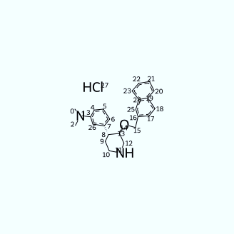 CN(C)c1cccc([C@H]2CCNC[C@@H]2OCc2ccc3ccccc3c2)c1.Cl